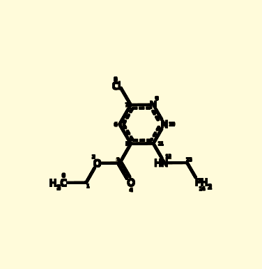 CCOC(=O)c1cc(Cl)nnc1NCP